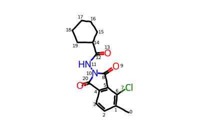 Cc1ccc2c(c1Cl)C(=O)N(NC(=O)C1CCCCC1)C2=O